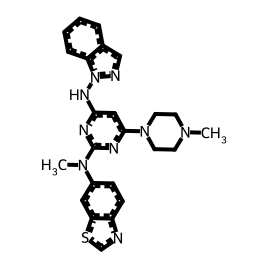 CN1CCN(c2cc(Nn3ncc4ccccc43)nc(N(C)c3ccc4ncsc4c3)n2)CC1